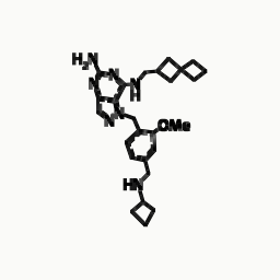 COc1cc(CNC2CCC2)ccc1Cn1ncc2nc(N)nc(NCC3CC4(CCC4)C3)c21